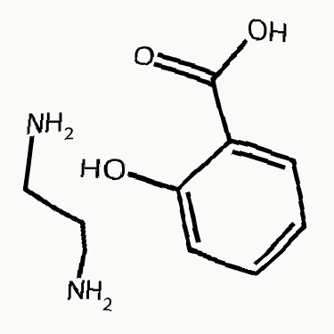 NCCN.O=C(O)c1ccccc1O